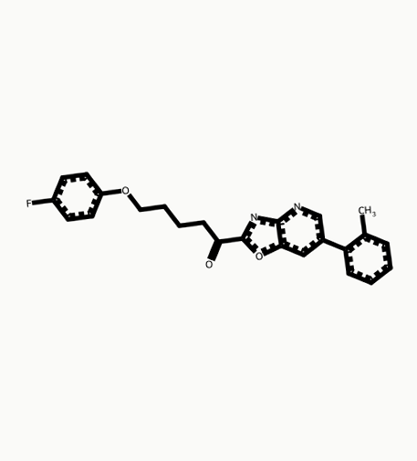 Cc1ccccc1-c1cnc2nc(C(=O)CCCCOc3ccc(F)cc3)oc2c1